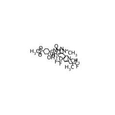 CCn1nc(C(=O)NC[C@@]2(O)CCC(S(C)(=O)=O)C[C@@H]2O)c(C)c1-c1cnc(CC(C)(C)C(F)F)cc1OC(F)F